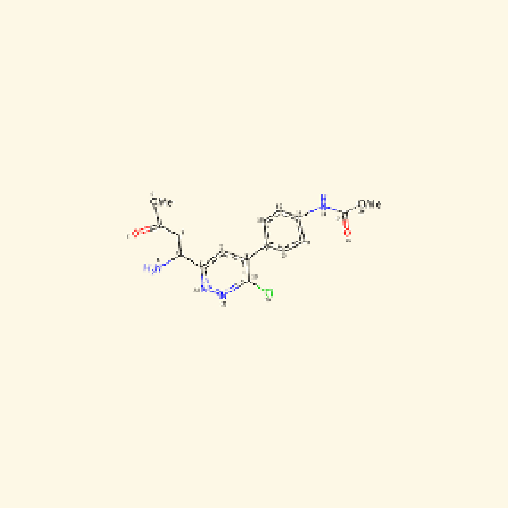 COC(=O)CC(N)c1cc(-c2ccc(NC(=O)OC)cc2)c(Cl)nn1